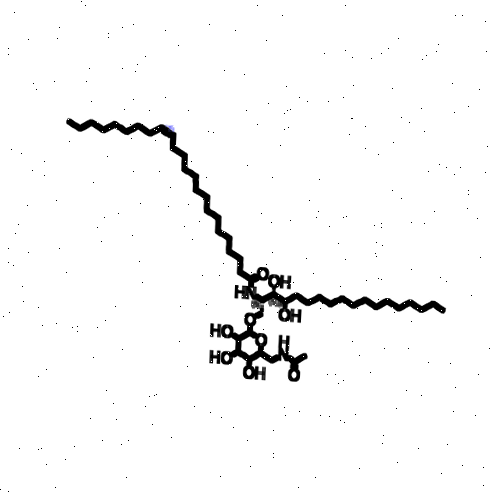 CCCCCCCC/C=C\CCCCCCCCCCCCCC(=O)N[C@@H](COC1OC(CNC(C)=O)C(O)C(O)C1O)[C@H](O)[C@H](O)CCCCCCCCCCCCCC